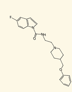 O=C(NCCN1CCC(COc2ccccc2)CC1)n1ccc2cc(F)ccc21